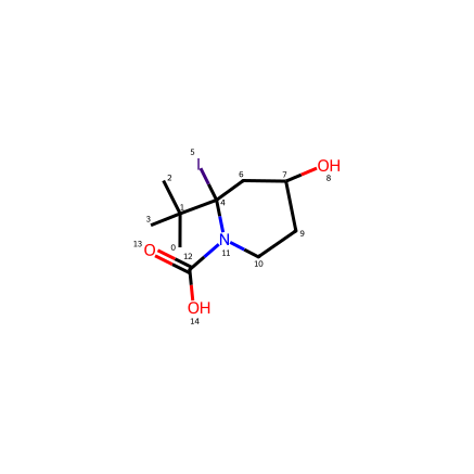 CC(C)(C)C1(I)CC(O)CCN1C(=O)O